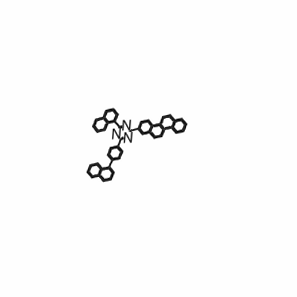 c1ccc2c(-c3ccc(-c4nc(-c5ccc6c(ccc7c8ccccc8ccc67)c5)nc(-c5cccc6ccccc56)n4)cc3)cccc2c1